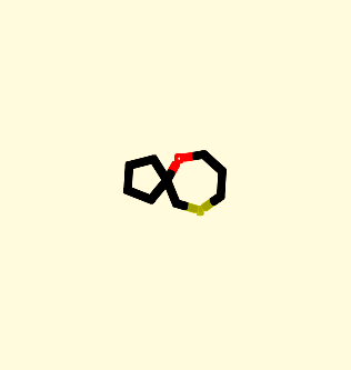 C1COC2(CCCC2)CSC1